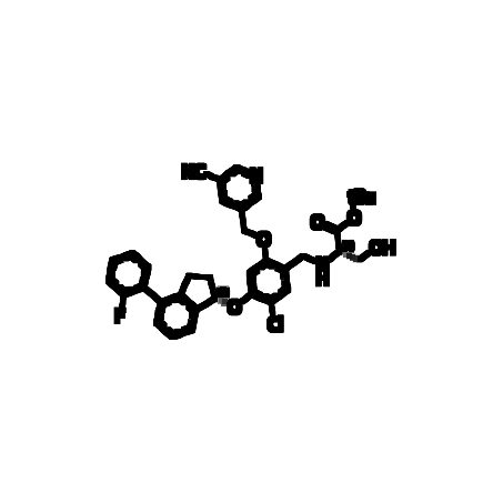 CC(C)(C)OC(=O)[C@H](CO)NCc1cc(Cl)c(O[C@H]2CCc3c(-c4ccccc4F)cccc32)cc1OCc1cncc(C#N)c1